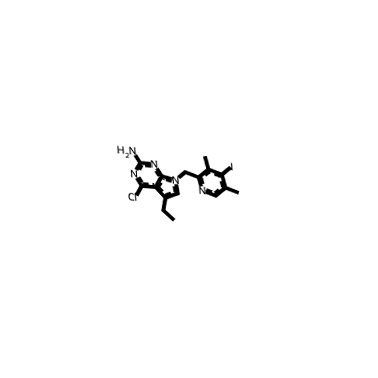 CCc1cn(Cc2ncc(C)c(I)c2C)c2nc(N)nc(Cl)c12